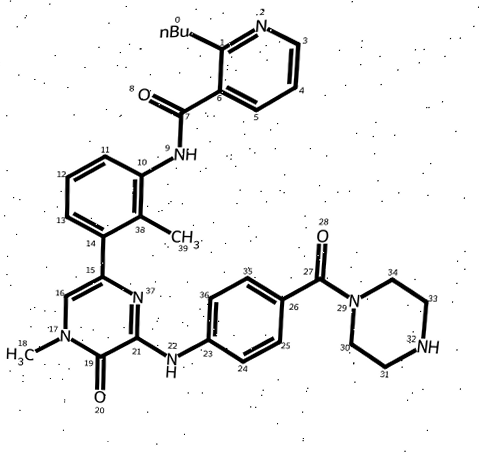 CCCCc1ncccc1C(=O)Nc1cccc(-c2cn(C)c(=O)c(Nc3ccc(C(=O)N4CCNCC4)cc3)n2)c1C